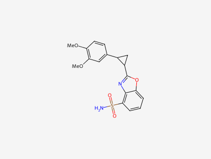 COc1ccc(C2CC2c2nc3c(S(N)(=O)=O)cccc3o2)cc1OC